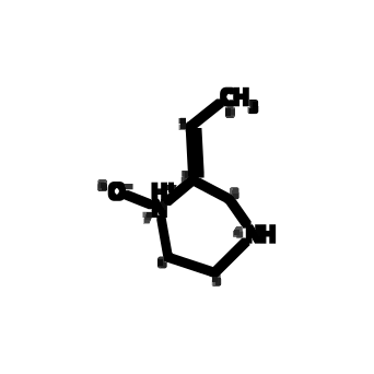 CC=C1CNCC[NH+]1[O-]